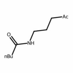 CCCCC(=O)NCCCC(C)=O